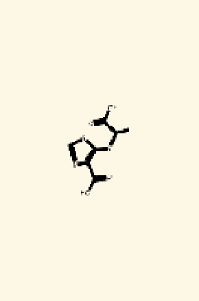 CC(Sc1scnc1C(=O)O)C(=O)O